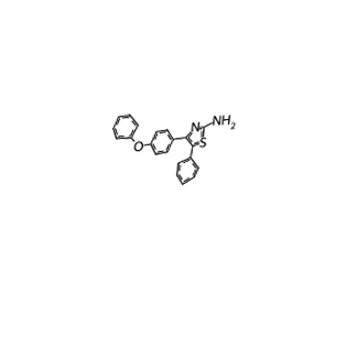 Nc1nc(-c2ccc(Oc3ccccc3)cc2)c(-c2ccccc2)s1